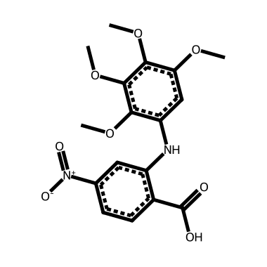 COc1cc(Nc2cc([N+](=O)[O-])ccc2C(=O)O)c(OC)c(OC)c1OC